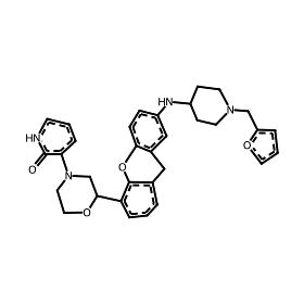 O=c1[nH]cccc1N1CCOC(c2cccc3c2Oc2ccc(NC4CCN(Cc5ccco5)CC4)cc2C3)C1